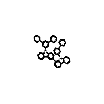 C1=CC2c3cccc(-c4ccc5c(c4)c4ccccc4n5-c4cc(-c5ccccc5)cc(-c5ccccc5)c4)c3N(c3cccc(-c4ccccc4)c3)C2C=C1